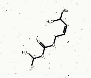 CCCCC(C)/C=C\COC(=O)OC(C)C(C)C